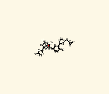 Cc1nnc([C@@]23CCC[C@@H](C2)N3C(=O)Nc2ccc(Cl)c(-c3ncn(CC4CC4)n3)c2)o1